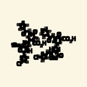 CC(C)(C)C(=O)n1nc(-c2cc(C(=O)O)c(=O)n(CC(=O)c3ccncc3)c2)cc1NCc1ccc(Cl)s1.Cc1c(C(=O)O)c(-c2cc(NCc3ccc(Cl)s3)n(C(=O)C(C)(C)C)n2)cn(CC(=O)c2ccsc2)c1=O